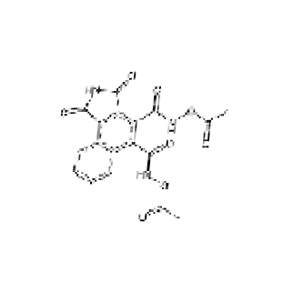 CC(=O)ONC(=O)c1c2c(c3ccccc3c1C(=O)NOC(C)=O)C(=O)NC2=O